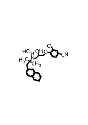 CC(C)(Cc1ccc2ccccc2c1)NCC(O)COc1ccc(C#N)cc1Cl.Cl